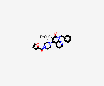 CCOC(=O)c1c(N2CCN(C(=O)c3ccco3)CC2)c2cccnc2n(Cc2ccccc2)c1=O